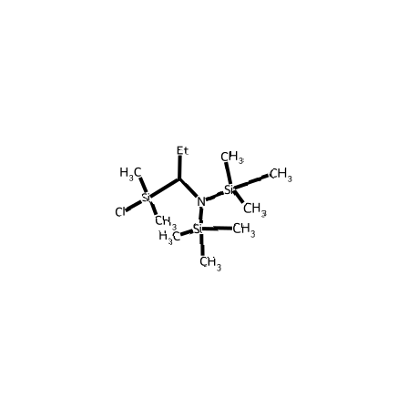 CCC(N([Si](C)(C)C)[Si](C)(C)C)[Si](C)(C)Cl